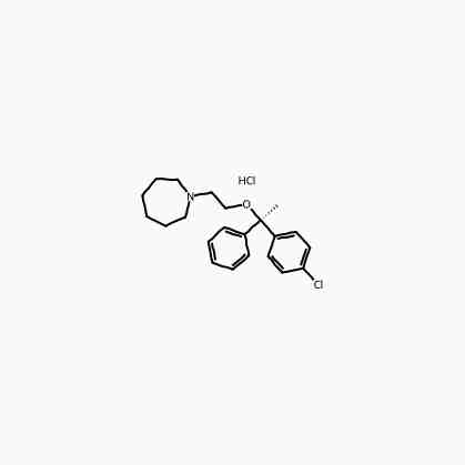 C[C@@](OCCN1CCCCCC1)(c1ccccc1)c1ccc(Cl)cc1.Cl